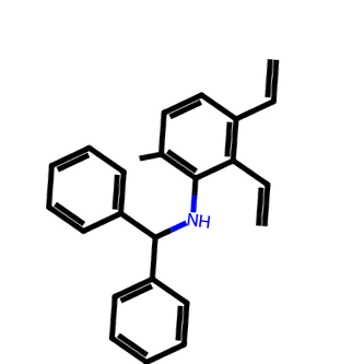 C=Cc1ccc(C)c(NC(c2ccccc2)c2ccccc2)c1C=C